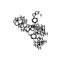 [2H]C([2H])([2H])C([2H])(Oc1ccc(C[C@H](NC(=O)O[C@]2([2H])[C@@H]3CCO[C@@H]3OC2([2H])[2H])[C@H](O)CN(C([2H])([2H])C([2H])(C([2H])([2H])[2H])C([2H])([2H])[2H])S(=O)(=O)c2ccc(OC(F)(F)F)cc2)cc1)C([2H])([2H])[2H]